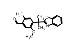 COc1cc(C=O)c(C)cc1C(C)(C)c1nc2ccccc2o1